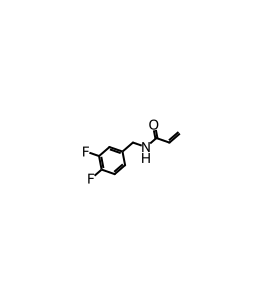 C=CC(=O)NCc1ccc(F)c(F)c1